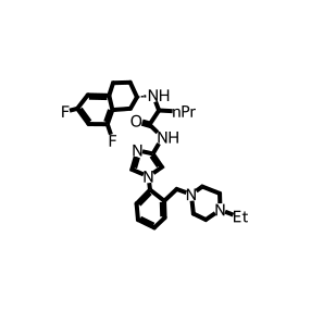 CCCC(N[C@H]1CCc2cc(F)cc(F)c2C1)C(=O)Nc1cn(-c2ccccc2CN2CCN(CC)CC2)cn1